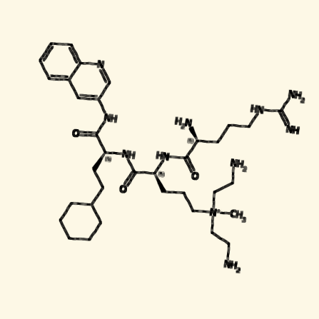 C[N+](CCN)(CCN)CCC[C@H](NC(=O)[C@@H](N)CCCNC(=N)N)C(=O)N[C@@H](CCC1CCCCC1)C(=O)Nc1cnc2ccccc2c1